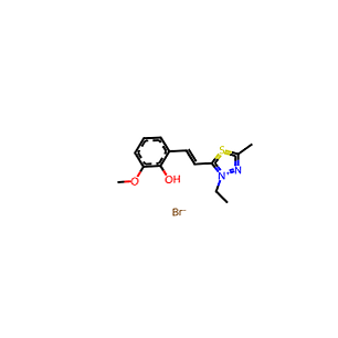 CC[n+]1nc(C)sc1C=Cc1cccc(OC)c1O.[Br-]